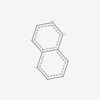 [c]1[c]c2ccc[c]c2cc1